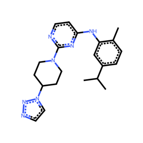 Cc1ccc(C(C)C)cc1Nc1ccnc(N2CCC(n3ccnn3)CC2)n1